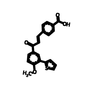 COc1ccc(C(=O)C=Cc2ccc(C(=O)O)cc2)cc1-c1cccs1